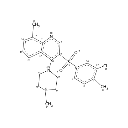 Cc1ccc(S(=O)(=O)c2cnc3c(C)cccc3c2N2CCC(C)CC2)cc1Cl